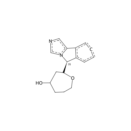 OC1CCCOC([C@@H]2c3ccccc3-c3cncn32)C1